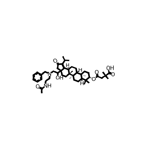 CC(=O)NCCN(Cc1ccccc1)CC(O)C12CC[C@]3(C)[C@H](CC[C@@H]4[C@@]5(C)CC[C@H](OC(=O)CC(C)(C)C(=O)O)C(C)(C)[C@@H]5CC[C@]43C)C1=C(C(C)C)C(=O)C2